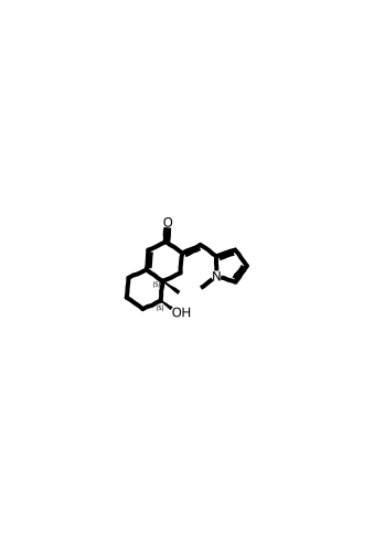 Cn1cccc1C=C1C[C@@]2(C)C(=CC1=O)CCC[C@@H]2O